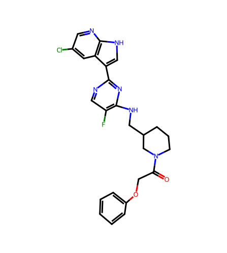 O=C(COc1ccccc1)N1CCCC(CNc2nc(-c3c[nH]c4ncc(Cl)cc34)ncc2F)C1